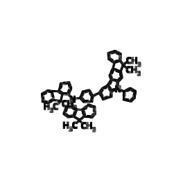 CC1(C)c2ccccc2-c2cc3c4cc(-c5ccc(N(c6cccc7c6-c6ccccc6C7(C)C)c6cccc7c6C(C)(C)c6ccccc6-7)cc5)ccc4n(-c4ccccc4)c3cc21